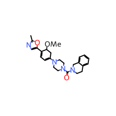 COC1CC(N2CCN(C(=O)N3CCc4ccccc4C3)CC2)=CC=C1c1cnc(C)o1